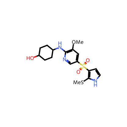 COc1cc(S(=O)(=O)c2cc[nH]c2SC)cnc1NC1CCC(O)CC1